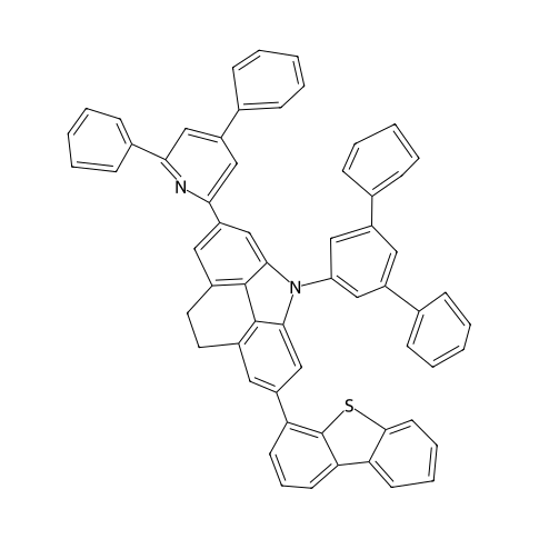 c1ccc(-c2cc(-c3ccccc3)cc(-n3c4cc(-c5cc(-c6ccccc6)cc(-c6ccccc6)n5)cc5c4c4c(cc(-c6cccc7c6sc6ccccc67)cc43)CC5)c2)cc1